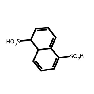 O=S(=O)(O)C1=CC=CC2C1=CC=CC2S(=O)(=O)O